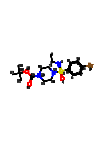 CCN=S(=O)(c1ccc(Br)cc1)N1CCN(C(=O)OC(C)(C)C)CC1